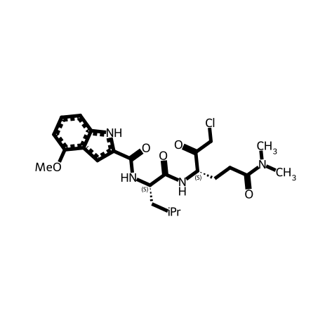 COc1cccc2[nH]c(C(=O)N[C@@H](CC(C)C)C(=O)N[C@@H](CCC(=O)N(C)C)C(=O)CCl)cc12